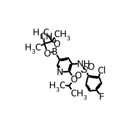 CC(C)Oc1ncc(B2OC(C)(C)C(C)(C)O2)cc1NS(=O)(=O)c1ccc(F)cc1Cl